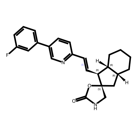 O=C1NC[C@@]2(C[C@H]3CCCC[C@H]3[C@@H]2/C=C/c2ccc(-c3cccc(F)c3)cn2)O1